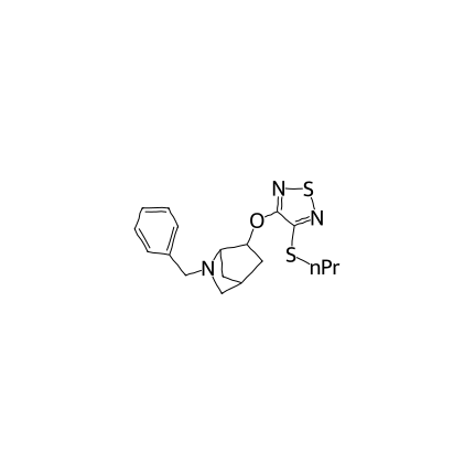 CCCSc1nsnc1OC1CC2CC1N(Cc1ccccc1)C2